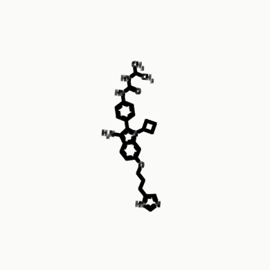 CC(C)NC(=O)Nc1ccc(-c2c(N)c3ccc(OCCCc4cnc[nH]4)cc3n2C2CCC2)cc1